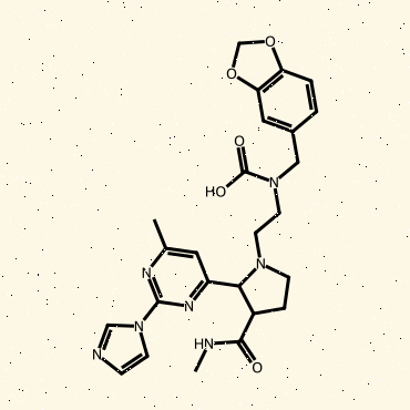 CNC(=O)C1CCN(CCN(Cc2ccc3c(c2)OCO3)C(=O)O)C1c1cc(C)nc(-n2ccnc2)n1